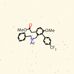 COC(=O)Cc1ccc(OC)c(-c2ccc(C(F)(F)F)cc2)c1CN(Cc1ccccc1)C(C)=O